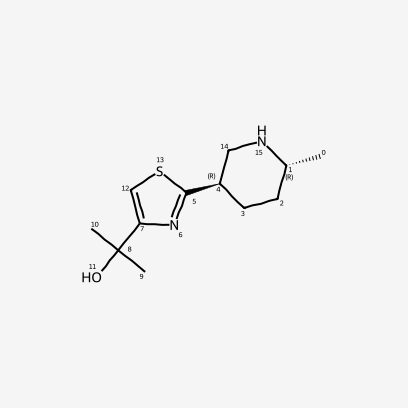 C[C@@H]1CC[C@@H](c2nc(C(C)(C)O)cs2)CN1